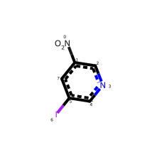 O=[N+]([O-])c1cn[c]c(I)c1